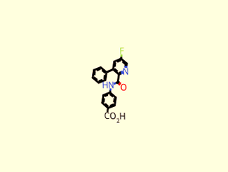 O=C(O)c1ccc(NC(=O)c2ncc(F)cc2-c2ccccc2)cc1